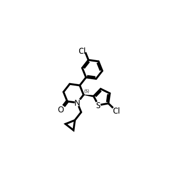 O=C1CCC(c2cccc(Cl)c2)[C@@H](c2ccc(Cl)s2)N1CC1CC1